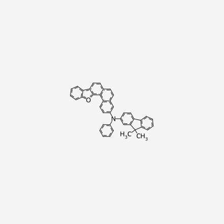 CC1(C)c2ccccc2-c2ccc(N(c3ccccc3)c3ccc4c(ccc5ccc6c7ccccc7oc6c54)c3)cc21